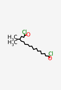 CC(C)C(CCCCCCCCCCCCCC(=O)Cl)CCC(=O)Cl